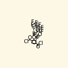 O=C(Cl)c1ccc(C(=O)Cl)c(OC(F)(F)C(F)(Br)OC(F)(F)C(F)(OC(F)(F)C(F)(F)C(F)(F)F)C(F)(F)F)c1